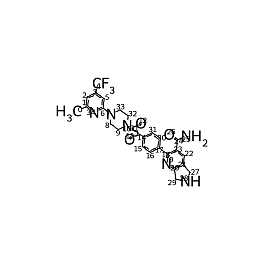 Cc1cc(C(F)(F)F)cc(N2CCN(S(=O)(=O)c3ccc(-c4nc5c(cc4C(N)=O)CNC5)cc3)CC2)n1